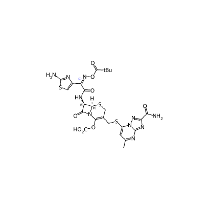 Cc1cc(SCC2=C(OC(=O)O)N3C(=O)[C@@H](NC(=O)/C(=N\OC(=O)C(C)(C)C)c4csc(N)n4)[C@H]3SC2)n2nc(C(N)=O)nc2n1